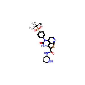 CC(C)(C)S(=O)(=O)c1ccc(N2C(=O)Nc3c(C(=O)NC4CCCNC4)sc4nccc2c34)cc1